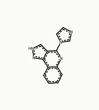 c1ccc2c(c1)nc(-n1ccnc1)c1c[nH]nc12